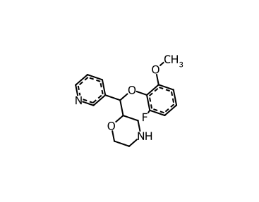 COc1cccc(F)c1OC(c1cccnc1)C1CNCCO1